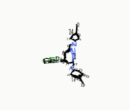 Cc1ccc(N=Cc2cc(C)cc(C=Nc3ccc(C)cc3)n2)cc1.[Cl-].[Cl-].[Fe+2]